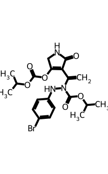 C=C(C1=C(OC(=O)OC(C)C)CNC1=O)N(Nc1ccc(Br)cc1)C(=O)OC(C)C